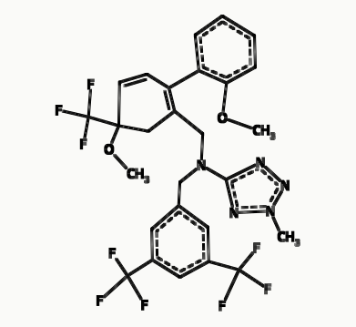 COc1ccccc1C1=C(CN(Cc2cc(C(F)(F)F)cc(C(F)(F)F)c2)c2nnn(C)n2)CC(OC)(C(F)(F)F)C=C1